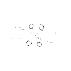 CCCCCCCCCCCCCSPOC(Sc1ccccc1)C(C(OPSCCCCCCCCCCCCC)Sc1ccccc1)(C(OPSCCCCCCCCCCCCC)Sc1ccccc1)C(OPSCCCCCCCCCCCCC)Sc1ccccc1